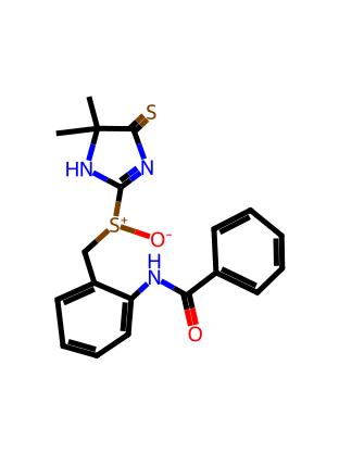 CC1(C)NC([S+]([O-])Cc2ccccc2NC(=O)c2ccccc2)=NC1=S